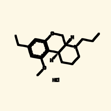 CCCN1CCC[C@H]2c3c(OC)cc(CC)cc3OC[C@@H]21.Cl